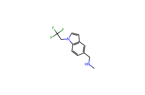 CNCc1ccc2c(ccn2CC(F)(F)F)c1